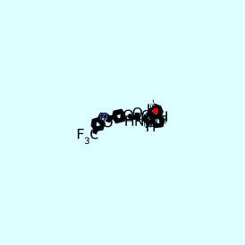 C[C@H]1[C@H](NC(=O)COc2ccc(C(=O)/C=C\c3ccc(C(F)(F)F)cc3)cc2)O[C@@H]2O[C@]3(C)CC[C@H]4[C@H](C)CC[C@@H]1[C@@]24OO3